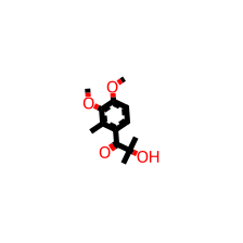 COc1ccc(C(=O)C(C)(C)O)c(C)c1OC